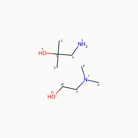 CC(C)(O)CN.CN(C)CCO